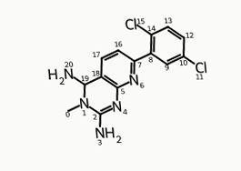 CN1C(N)=Nc2nc(-c3cc(Cl)ccc3Cl)ccc2C1N